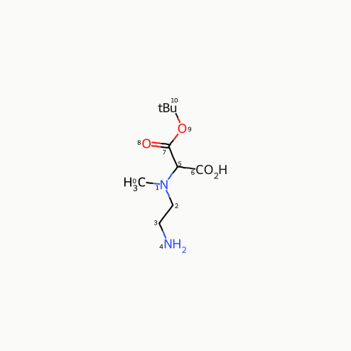 CN(CCN)C(C(=O)O)C(=O)OC(C)(C)C